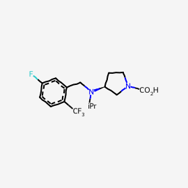 CC(C)N(Cc1cc(F)ccc1C(F)(F)F)[C@H]1CCN(C(=O)O)C1